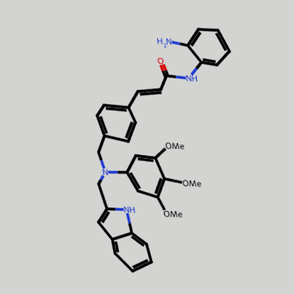 COc1cc(N(Cc2ccc(C=CC(=O)Nc3ccccc3N)cc2)Cc2cc3ccccc3[nH]2)cc(OC)c1OC